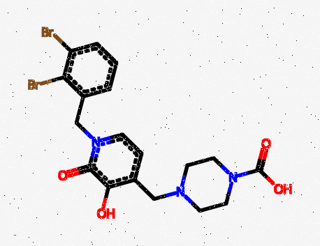 O=C(O)N1CCN(Cc2ccn(Cc3cccc(Br)c3Br)c(=O)c2O)CC1